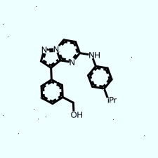 CC(C)c1ccc(Nc2ccn3ncc(-c4cccc(CO)c4)c3n2)cc1